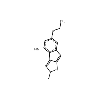 Br.CC1N=C2C(=Cc3cc(OCC(F)(F)F)ccc32)S1